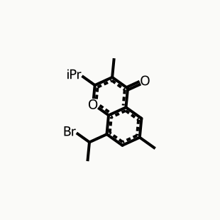 Cc1cc(C(C)Br)c2oc(C(C)C)c(C)c(=O)c2c1